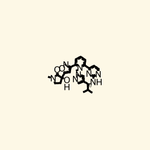 CC(C)[C@@H](Nc1nccc(-c2cccc(-c3cc(C4(O)CCN(C)C4=O)on3)n2)n1)c1cnn(C)c1